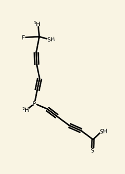 [2H]P(C#CC#CC(=S)S)C#CC#CC([3H])(F)S